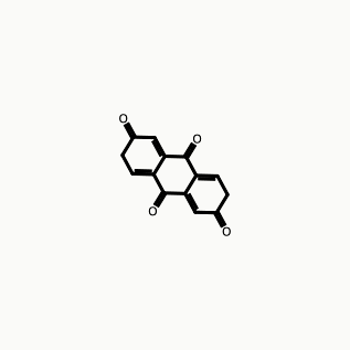 O=C1C=C2C(=O)C3=CCC(=O)C=C3C(=O)C2=CC1